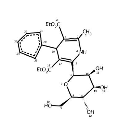 CCOC(=O)C1=C(C)NC([C@@H]2O[C@H](CO)[C@@H](O)[C@H](O)[C@@H]2O)=C(C(=O)OCC)C1c1ccccc1